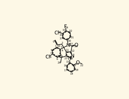 C=CCC1(c2ccc(Cl)cc2)c2c(nn(-c3ccccc3OC)c2C(C)C)C(=O)N1c1ccc(F)c(Cl)c1